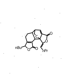 CCC/C=C1\OC(=O)C2=CC3CCC21C1C2=C(CCC31)C(CCCC)OC2=O